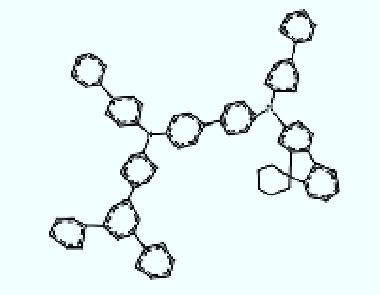 c1ccc(-c2ccc(N(c3ccc(-c4ccc(N(c5ccc(-c6ccccc6)cc5)c5ccc6c(c5)C5(CCCCC5)c5ccccc5-6)cc4)cc3)c3ccc(-c4cc(-c5ccccc5)cc(-c5ccccc5)c4)cc3)cc2)cc1